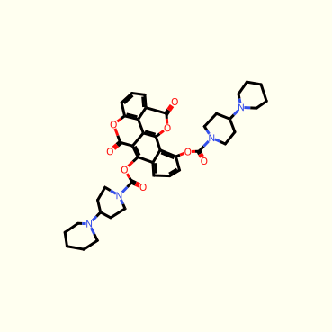 O=C(Oc1c2cccc(OC(=O)N3CCC(N4CCCCC4)CC3)c2c2oc(=O)c3cccc4oc(=O)c1c2c43)N1CCC(N2CCCCC2)CC1